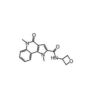 Cn1c(C(=O)NC2COC2)cc2c(=O)n(C)c3ccccc3c21